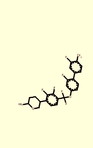 CCCC1CCC(c2ccc(C(F)(F)Oc3ccc(-c4ccc(C(F)(F)F)c(F)c4)c(F)c3)c(F)c2F)CO1